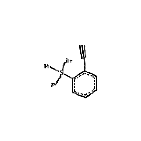 C#Cc1ccccc1[Si](C(C)C)(C(C)C)C(C)C